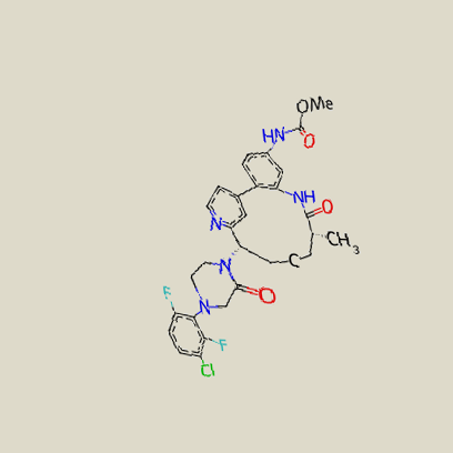 COC(=O)Nc1ccc2c(c1)NC(=O)[C@H](C)CCC[C@H](N1CCN(c3c(F)ccc(Cl)c3F)CC1=O)c1cc-2ccn1